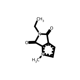 CCN1C(=O)c2ccn(C)c2C1=O